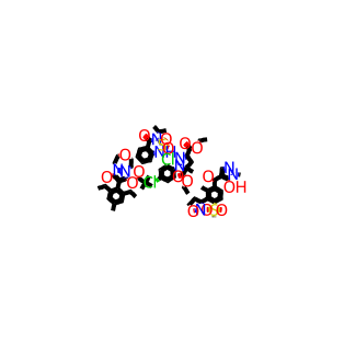 CC(C)N1C(=O)c2ccccc2NS1(=O)=O.CCOC(=O)C1=NN(c2ccc(Cl)cc2Cl)C(C)(C(=O)OCC)C1.CCc1cc(C)cc(CC)c1-c1c(OC(=O)C(C)(C)C)n2n(c1=O)CCOCC2.Cc1c(C(=O)c2cnn(C)c2O)ccc(S(C)(=O)=O)c1C1=NOCC1